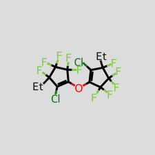 CCC1(F)C(Cl)=C(OC2=C(Cl)C(F)(CC)C(F)(F)C2(F)F)C(F)(F)C1(F)F